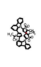 CC1=CC=C(n2c3ccccc3c3cccc(-c4ccc(-c5cccc6c7ccccc7n(C7=CC=C(C)S7(=O)=O)c56)n4C(C)C)c32)S1(=O)=O